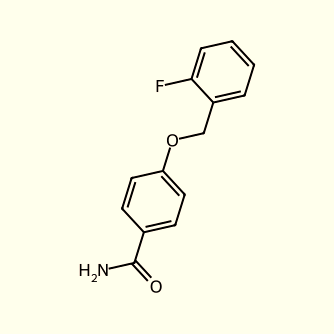 NC(=O)c1ccc(OCc2ccccc2F)cc1